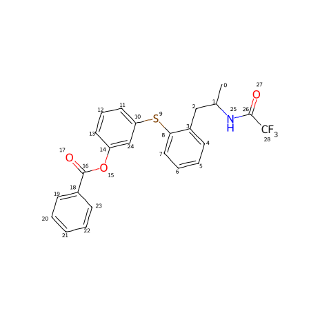 CC(Cc1ccccc1Sc1cccc(OC(=O)c2ccccc2)c1)NC(=O)C(F)(F)F